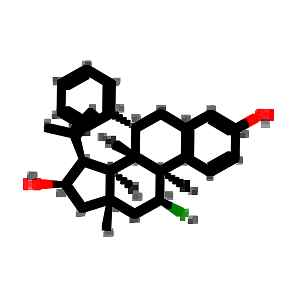 C=C(C)[C@H]1[C@H]2[C@H]3[C@@H](c4ccc(O)cc4C[C@H]3c3ccccc3)[C@@H](F)C[C@]2(C)C[C@H]1O